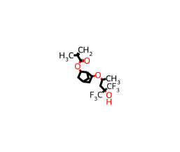 C=C(C)C(=O)OC1CC2CC(OC(C)CC(O)(C(F)(F)F)C(F)(F)F)C1C2